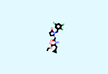 CCOC(=O)C(CC1CC1)NC(=O)C[C@@H]1CCC(=O)N1Cc1cc(F)cc(F)c1F